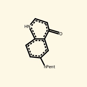 CCCCCc1ccc2[nH]ccc(=O)c2c1